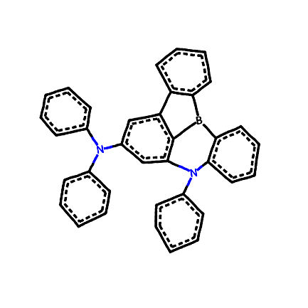 c1ccc(N(c2ccccc2)c2cc3c4c(c2)N(c2ccccc2)c2ccccc2B4c2ccccc2-3)cc1